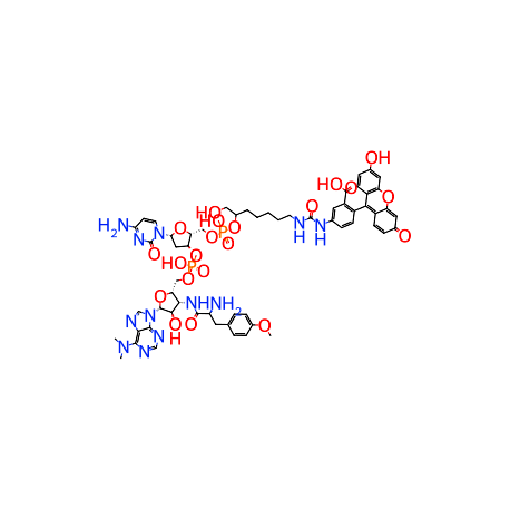 COc1ccc(C[C@H](N)C(=O)N[C@@H]2[C@@H](O)[C@H](n3cnc4c(N(C)C)ncnc43)O[C@@H]2COP(=O)(O)O[C@H]2C[C@H](n3ccc(N)nc3=O)O[C@@H]2COP(=O)(O)OC(CO)CCCCCNC(=O)Nc2ccc(-c3c4ccc(=O)cc-4oc4cc(O)ccc34)c(C(=O)O)c2)cc1